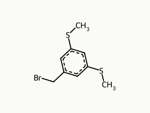 CSc1cc(CBr)cc(SC)c1